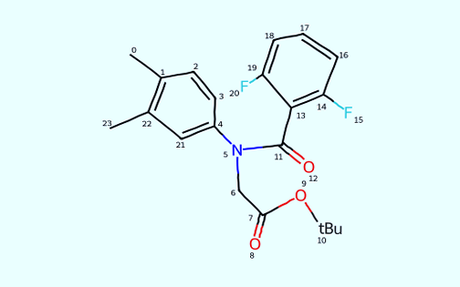 Cc1ccc(N(CC(=O)OC(C)(C)C)C(=O)c2c(F)cccc2F)cc1C